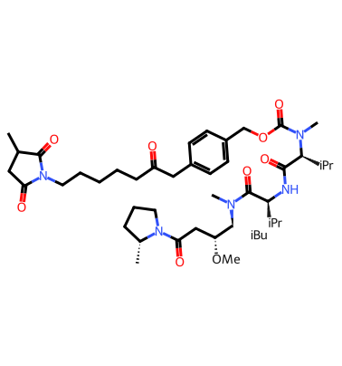 CC[C@H](C)[C@@H]([C@@H](CC(=O)N1CCC[C@H]1C)OC)N(C)C(=O)[C@@H](NC(=O)[C@H](C(C)C)N(C)C(=O)OCc1ccc(CC(=O)CCCCCN2C(=O)CC(C)C2=O)cc1)C(C)C